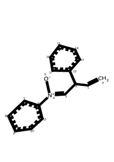 C=CC(C=[N+]([O-])c1ccccc1)c1ccccc1